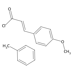 COc1ccc(C=CC(=O)Cl)cc1.Cc1ccccc1